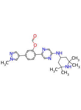 Cn1cc(-c2ccc(-c3cnc(NC4CC(C)(C)NC(C)(C)C4)cn3)c(OC=O)c2)cn1